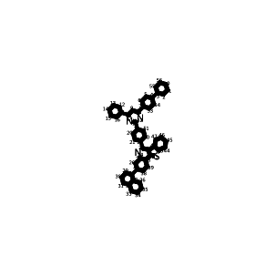 c1ccc(-c2ccc(-c3cc(-c4ccccc4)nc(-c4ccc(-c5nc6cc(-c7cccc8ccccc78)ccc6c6sc7ccccc7c56)cc4)n3)cc2)cc1